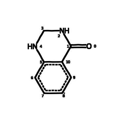 O=C1NCNc2cc[c]cc21